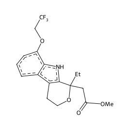 CCC1(CC(=O)OC)OCCc2c1[nH]c1c(OCC(F)(F)F)cccc21